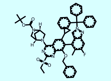 CCS(=O)(=O)c1nc(N2C[C@@H]3C[C@H]2CN3C(=O)OC(C)(C)C)c2cc(C3CC3)c(-c3c(C)c(F)cc4nn(C(c5ccccc5)(c5ccccc5)c5ccccc5)cc34)c(OCc3ccccc3)c2n1